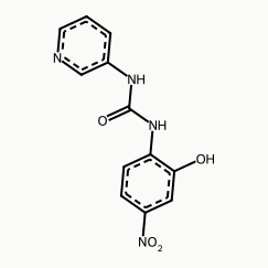 O=C(Nc1cccnc1)Nc1ccc([N+](=O)[O-])cc1O